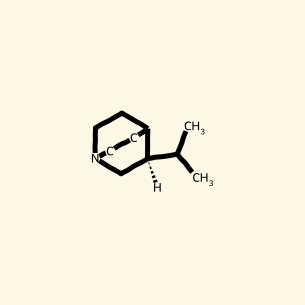 CC(C)[C@H]1CN2CCC1CC2